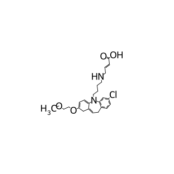 COCCOC1=CC=C2C(=CCc3ccc(Cl)cc3N2CCCCNCC=CC(=O)O)C1